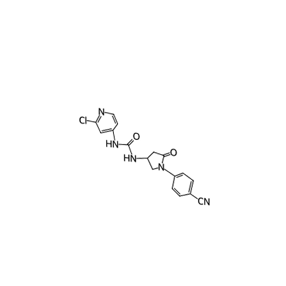 N#Cc1ccc(N2CC(NC(=O)Nc3ccnc(Cl)c3)CC2=O)cc1